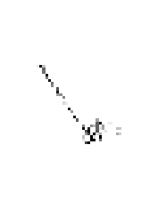 CCCCCCCCCCCCCCCCCCCC(=O)OC(=O)C(C)N